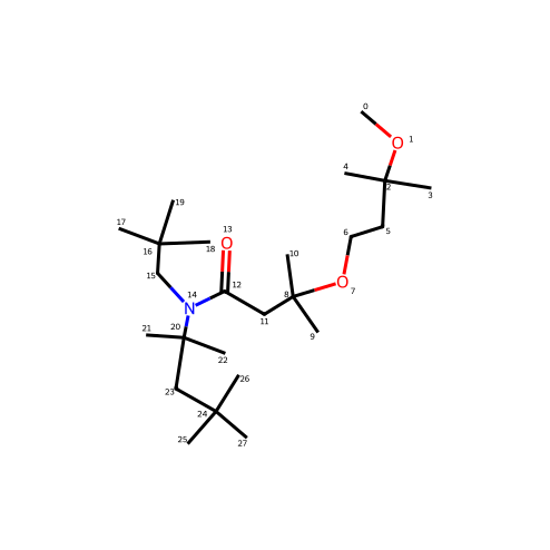 COC(C)(C)CCOC(C)(C)CC(=O)N(CC(C)(C)C)C(C)(C)CC(C)(C)C